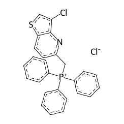 Clc1csc2ccc(C[P+](c3ccccc3)(c3ccccc3)c3ccccc3)nc12.[Cl-]